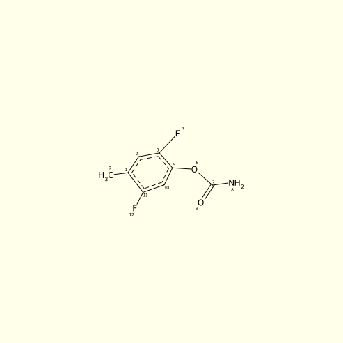 Cc1cc(F)c(OC(N)=O)cc1F